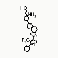 NC1(CCO)CCC(c2ccc3c(c2)CCc2nc(-c4onc(-c5ccccc5)c4C(F)(F)F)sc2-3)C1